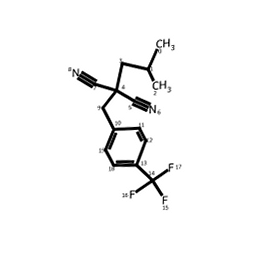 CC(C)CC(C#N)(C#N)Cc1ccc(C(F)(F)F)cc1